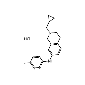 Cc1ccc(Nc2ccc3c(c2)CN(CC2CC2)CC3)nn1.Cl